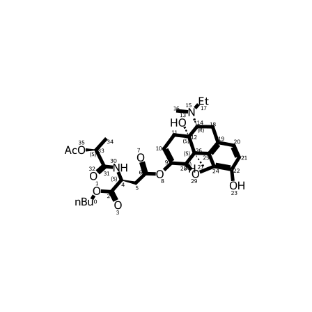 CCCCOC(=O)[C@H](CC(=O)OC1=CC[C@@]2(O)[C@H](N(C)CC)Cc3ccc(O)c4c3[C@@]2(C)[C@H]1O4)NC(=O)[C@H](C)OC(C)=O